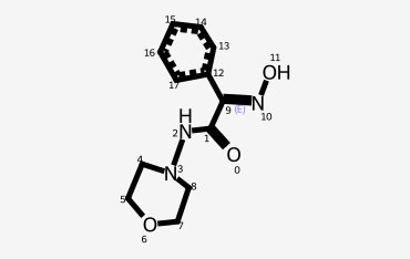 O=C(NN1CCOCC1)/C(=N/O)c1ccccc1